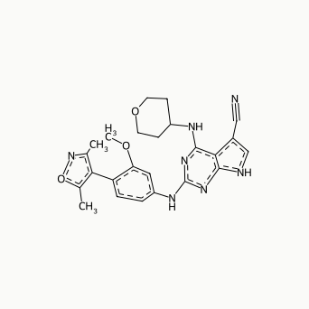 COc1cc(Nc2nc(NC3CCOCC3)c3c(C#N)c[nH]c3n2)ccc1-c1c(C)noc1C